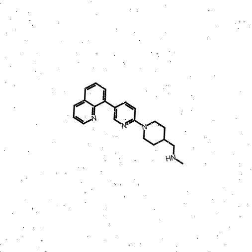 CNCC1CCN(c2ccc(-c3cccc4cccnc34)cn2)CC1